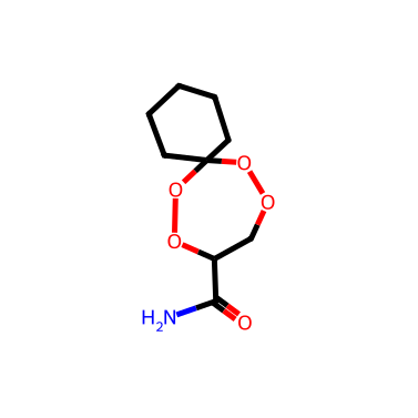 NC(=O)C1COOC2(CCCCC2)OO1